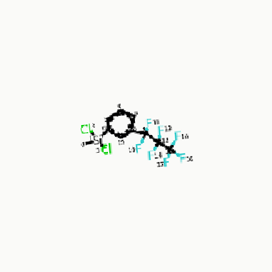 C[Si](Cl)(Cl)c1cccc(C(F)(F)C(F)(F)C(F)(F)F)c1